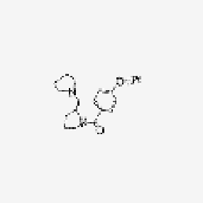 CCCOc1ccc(C(=O)N2CCC[C@H]2CN2CCCC2)cc1